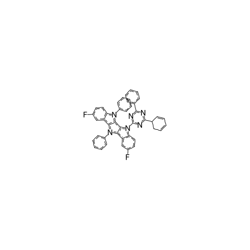 Fc1ccc2c(c1)c1c(c3c(c4cc(F)ccc4n3-c3nc(-c4ccccc4)nc(C4C=CC=CC4)n3)n1-c1ccccc1)n2-c1ccccc1